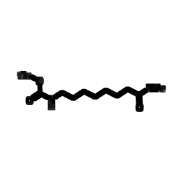 CNC(=O)CCCCCCCNC(=O)OC(C)(C)C